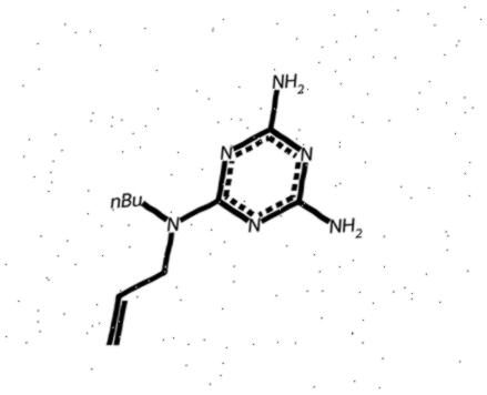 C=CCN(CCCC)c1nc(N)nc(N)n1